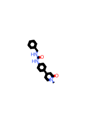 Cn1ccc(-c2ccc(NC(=O)NCc3ccccc3)cc2)cc1=O